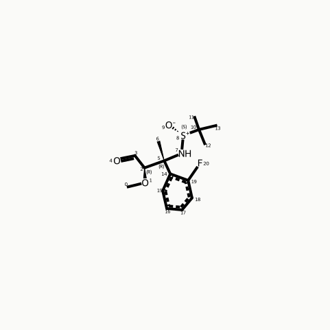 CO[C@@H](C=O)[C@](C)(N[S@+]([O-])C(C)(C)C)c1ccccc1F